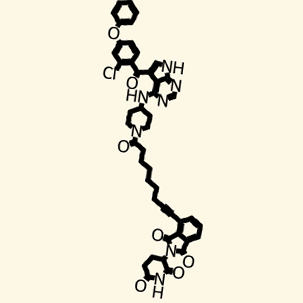 O=C1CCC(N2C(=O)c3cccc(C#CCCCCCCC(=O)N4CCC(Nc5ncnc6[nH]cc(C(=O)c7ccc(Oc8ccccc8)cc7Cl)c56)CC4)c3C2=O)C(=O)N1